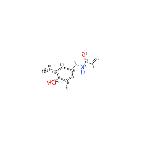 C=CC(=O)NCc1cc(C)c(O)c(C(C)(C)C)c1